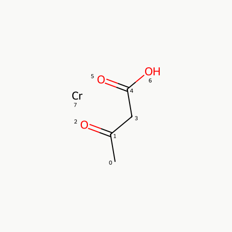 CC(=O)CC(=O)O.[Cr]